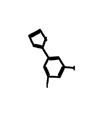 Ic1cc(I)cc(-c2cccs2)c1